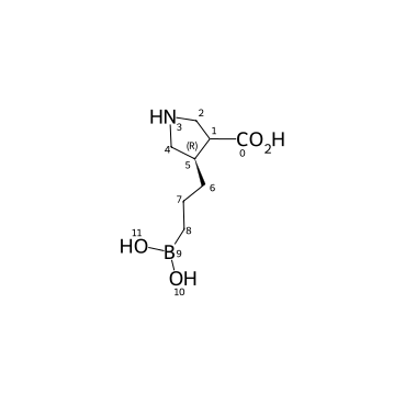 O=C(O)C1CNC[C@@H]1CCCB(O)O